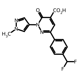 Cn1cc(-n2nc(-c3ccc(C(F)F)cc3)cc(C(=O)O)c2=O)cn1